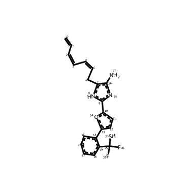 C=C/C=C\C=C/Cc1[nH]c(-c2ccc(-c3ccccc3C(F)(F)S)o2)nc1N